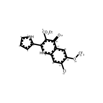 CCOC(=O)c1c(-c2ccc[nH]2)[nH]c2cc(Cl)c(OC(F)(F)F)cc2c1=O